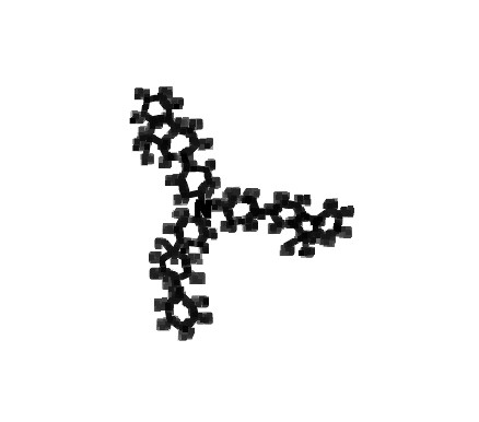 CC1(c2ccc(N(C3=CCC(c4ccc5c(c4)C(C)(C)C4=C5C=CCC4)C=C3)c3ccc(-c4ccc5c(c4)C(C)(C)c4ccccc4-5)cc3)cc2)C=CC(c2ccccc2)=CC1